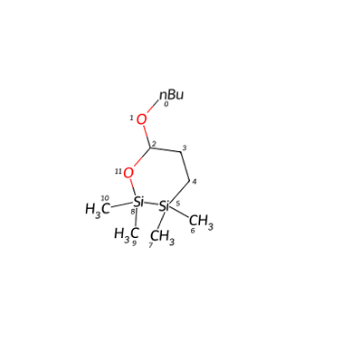 CCCCOC1CC[Si](C)(C)[Si](C)(C)O1